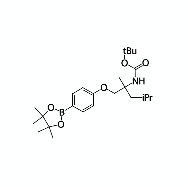 CC(C)CC(C)(COc1ccc(B2OC(C)(C)C(C)(C)O2)cc1)NC(=O)OC(C)(C)C